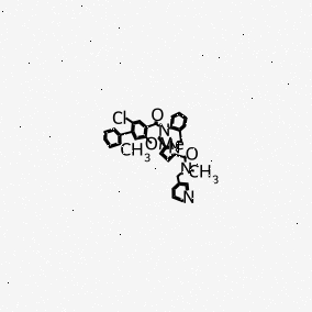 COc1cc(-c2ccccc2C)c(Cl)cc1C(=O)N1Cc2ccc(C(=O)N(C)Cc3cccnc3)n2Cc2ccccc21